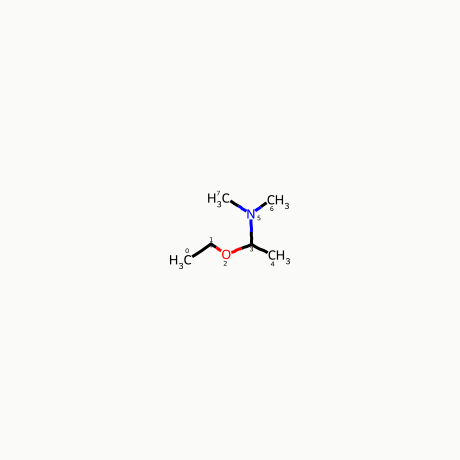 C[CH]OC(C)N(C)C